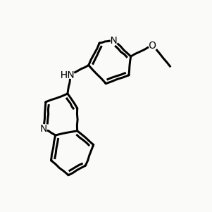 COc1ccc(Nc2cnc3ccccc3c2)cn1